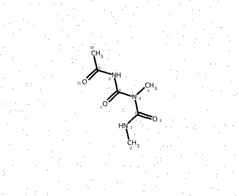 CNC(=O)N(C)C(=O)NC(C)=O